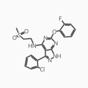 CS(=O)(=O)CCNc1nc(Oc2ccccc2F)nc2[nH]nc(-c3ccccc3Cl)c12